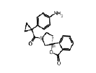 Nc1ccc(C2(C(=O)N3CC[C@@]4(C3)OC(=O)c3ccccc34)CC2)cc1